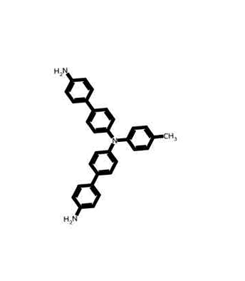 Cc1ccc(N(c2ccc(-c3ccc(N)cc3)cc2)c2ccc(-c3ccc(N)cc3)cc2)cc1